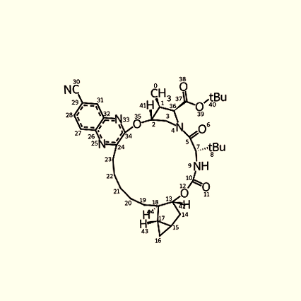 C[C@@H]1[C@@H]2CN(C(=O)[C@H](C(C)(C)C)NC(=O)O[C@@H]3CC4C[C@@H]4[C@H]3CCCCCc3nc4ccc(C#N)cc4nc3O2)[C@@H]1C(=O)OC(C)(C)C